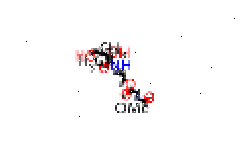 COC(=O)/C=C/C(=O)OCCCNC(=O)[C@@H](O)C(C)(C)CO